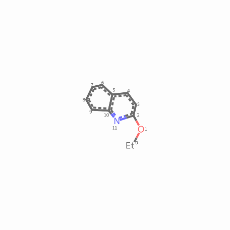 [CH2]COc1ccc2ccccc2n1